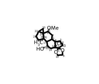 CO[C@@H]1CC2C3CCC4(OCCO4)[C@@]3(C)C[C@H](O)C2[C@@]2(C)CCC3CC312